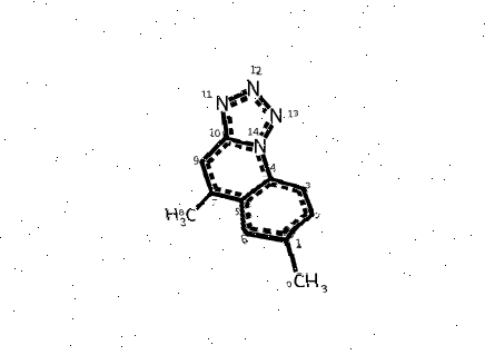 Cc1ccc2c(c1)c(C)cc1nnnn12